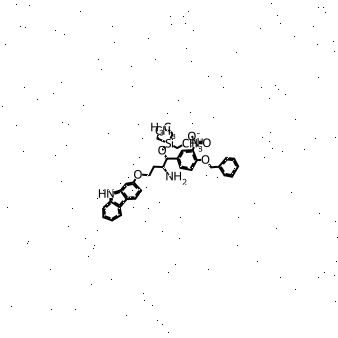 CC[Si](CC)(CC)OC(c1ccc(OCc2ccccc2)c([N+](=O)[O-])c1)C(N)CCOc1ccc2c(c1)[nH]c1ccccc12